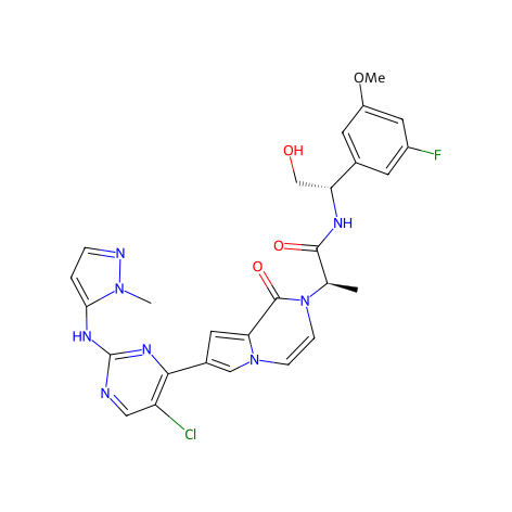 COc1cc(F)cc([C@@H](CO)NC(=O)[C@@H](C)n2ccn3cc(-c4nc(Nc5ccnn5C)ncc4Cl)cc3c2=O)c1